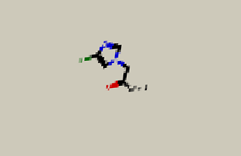 CCCCCC(=O)Cn1cnc(Br)c1